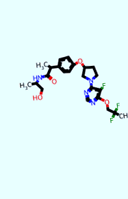 CC(CO)NC(=O)C(C)c1ccc(OC2CCN(c3ncnc(OCC(C)(F)F)c3F)C2)cc1